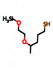 CC(CCCS)OCCO[SiH3]